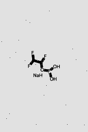 OP(O)OC(F)C(F)F.[NaH]